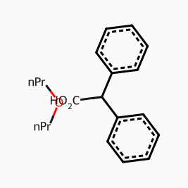 CCCOCCC.O=C(O)C(c1ccccc1)c1ccccc1